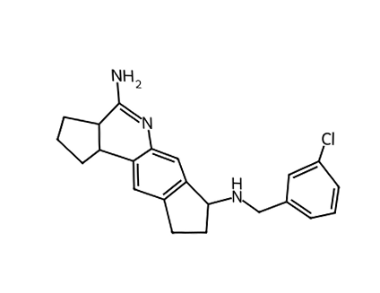 NC1=Nc2cc3c(cc2C2CCCC12)CCC3NCc1cccc(Cl)c1